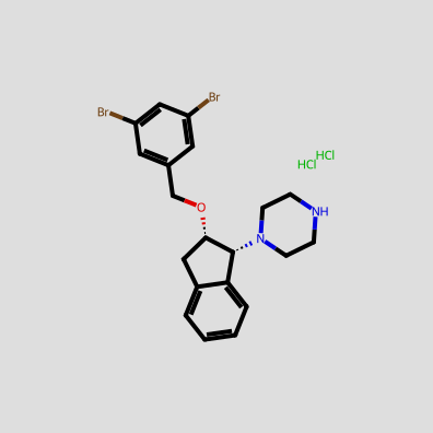 Brc1cc(Br)cc(CO[C@H]2Cc3ccccc3[C@H]2N2CCNCC2)c1.Cl.Cl